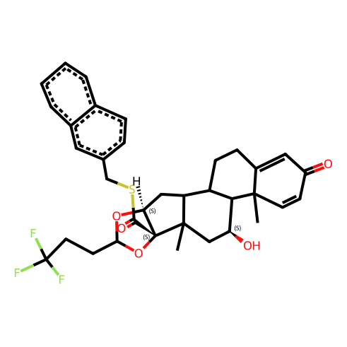 CC12C=CC(=O)C=C1CCC1C2[C@@H](O)CC2(C)C1C[C@@H]1OC(CCC(F)(F)F)O[C@]12C(=O)SCc1ccc2ccccc2c1